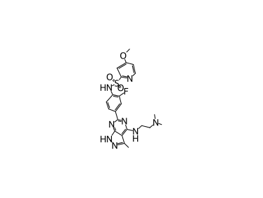 COc1ccnc(S(=O)(=O)Nc2ccc(-c3nc(NCCN(C)C)c4c(C)n[nH]c4n3)cc2F)c1